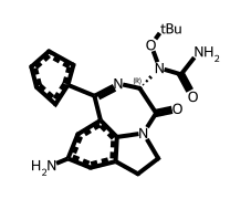 CC(C)(C)ON(C(N)=O)[C@H]1N=C(c2ccccc2)c2cc(N)cc3c2N(CC3)C1=O